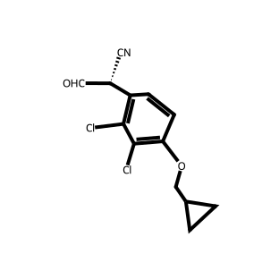 N#C[C@@H](C=O)c1ccc(OCC2CC2)c(Cl)c1Cl